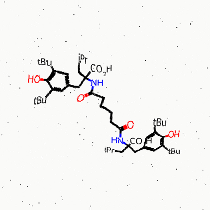 CC(C)CC(Cc1cc(C(C)(C)C)c(O)c(C(C)(C)C)c1)(NC(=O)CCCCC(=O)NC(Cc1cc(C(C)(C)C)c(O)c(C(C)(C)C)c1)(CC(C)C)C(=O)O)C(=O)O